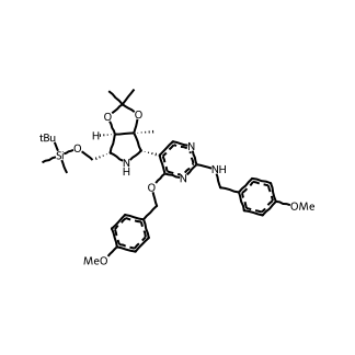 COc1ccc(CNc2ncc([C@@H]3N[C@H](CO[Si](C)(C)C(C)(C)C)[C@H]4OC(C)(C)O[C@]43C)c(OCc3ccc(OC)cc3)n2)cc1